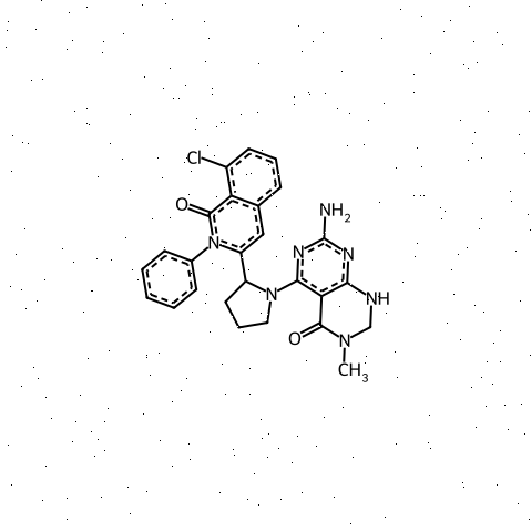 CN1CNc2nc(N)nc(N3CCCC3c3cc4cccc(Cl)c4c(=O)n3-c3ccccc3)c2C1=O